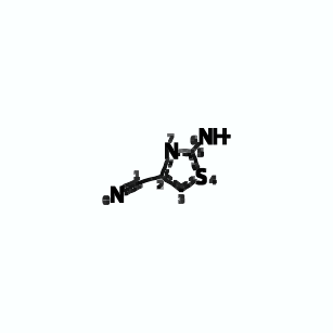 N#Cc1csc([NH])n1